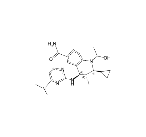 CC(O)N1c2ccc(C(N)=O)cc2[C@H](Nc2nccc(N(C)C)n2)[C@@H](C)[C@@H]1C1CC1